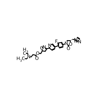 CCN(CC)CCC(=O)OCC1CC(c2ccc(-c3ccc(N4C[C@H](Cn5ccnn5)OC4=O)cc3F)cn2)=NO1